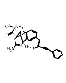 CN(C)C(=O)[C@]12C[C@H]1[C@@](C)(c1cc(C=C(F)C#Cc3ccccc3)ccc1F)N=C(N)S2